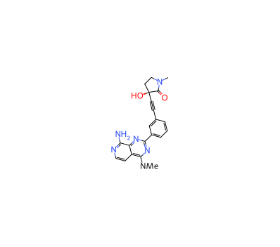 CNc1nc(-c2cccc(C#C[C@]3(O)CCN(C)C3=O)c2)nc2c(N)nccc12